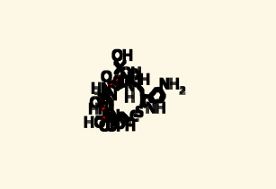 CC(O)[C@H]1NC(=O)[C@H](C)NC(=O)[C@H](C[C@@](C)(O)CO)NC(=O)[C@@H]2Cc3c([nH]c4ccc(N)cc34)SC[C@@H](NC1=O)C(=O)N1C[C@H](O)C[C@H]1C(=O)N[C@@H](C)C(=O)N2